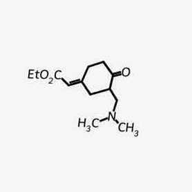 CCOC(=O)/C=C1\CCC(=O)C(CN(C)C)C1